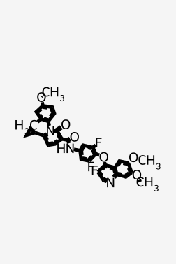 COc1ccc(-n2c(C3CC3)ccc(C(=O)Nc3cc(F)c(Oc4c(F)cnc5cc(OC)c(OC)cc45)c(F)c3)c2=O)c(C)c1